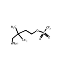 CCCCCCCCCCC(C)(C)CCOS(=O)(=O)C(F)(F)F